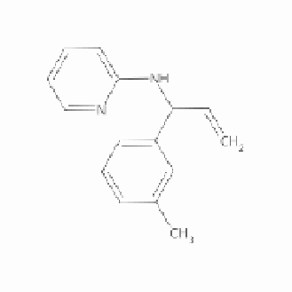 C=CC(Nc1ccccn1)c1cccc(C)c1